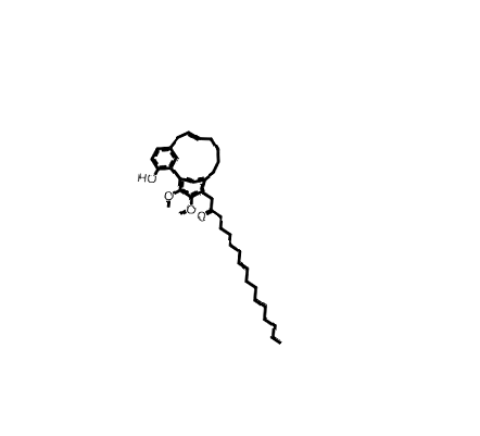 CCCCCCCCCCCCCCCC(=O)Cc1c2cc(c(OC)c1OC)-c1cc(ccc1O)C/C=C/CCCC2